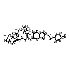 CC(C)(C)OC(=O)N(CCO[Si](C)(C)C(C)(C)C)Cc1ccc2cc(CCc3ccc(F)cc3)oc2c1